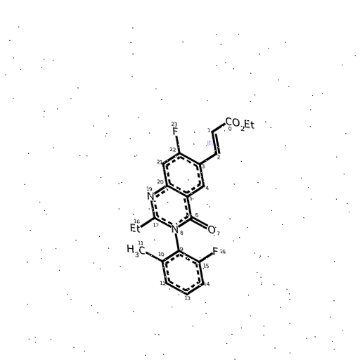 CCOC(=O)/C=C/c1cc2c(=O)n(-c3c(C)cccc3F)c(CC)nc2cc1F